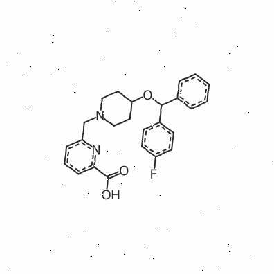 O=C(O)c1cccc(CN2CCC(OC(c3ccccc3)c3ccc(F)cc3)CC2)n1